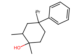 CC1CC(c2ccccc2)(C(C)C)CCC1(C)O